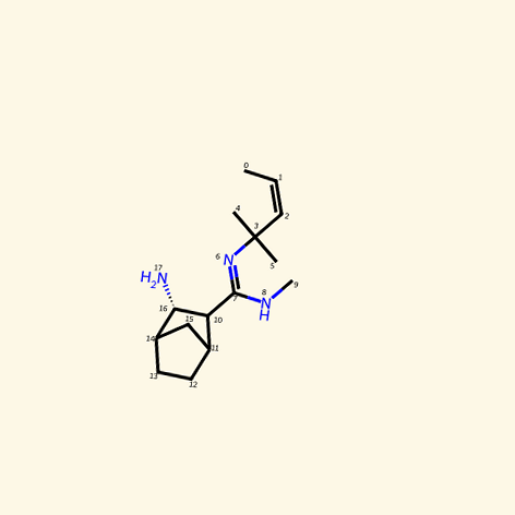 C/C=C\C(C)(C)/N=C(\NC)C1C2CCC(C2)[C@@H]1N